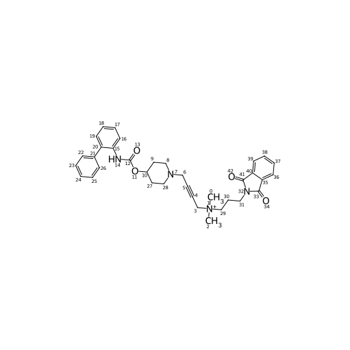 C[N+](C)(CC#CCN1CCC(OC(=O)Nc2ccccc2-c2ccccc2)CC1)CCCN1C(=O)c2ccccc2C1=O